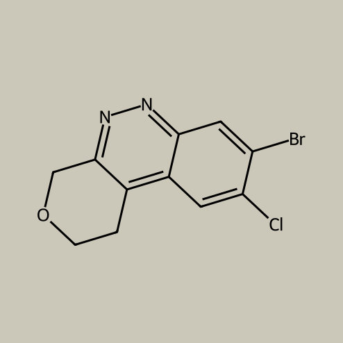 Clc1cc2c3c(nnc2cc1Br)COCC3